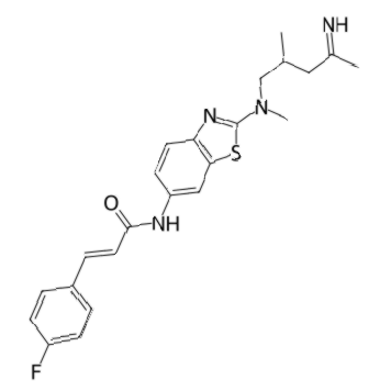 CC(=N)CC(C)CN(C)c1nc2ccc(NC(=O)C=Cc3ccc(F)cc3)cc2s1